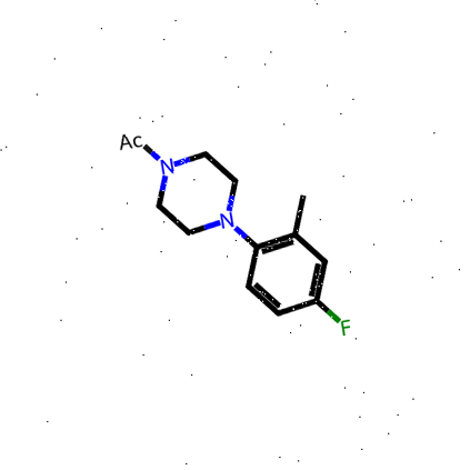 CC(=O)N1CCN(c2ccc(F)cc2C)CC1